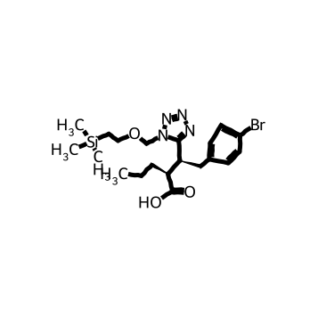 CCC[C@H](C(=O)O)[C@H](Cc1ccc(Br)cc1)c1nnnn1COCC[Si](C)(C)C